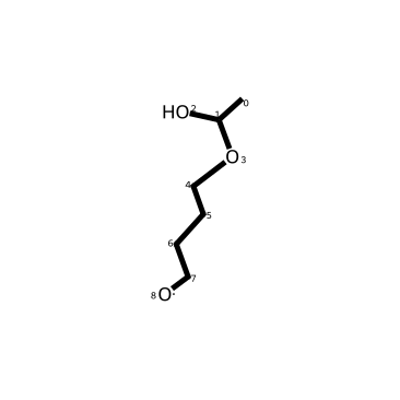 CC(O)OCCCC[O]